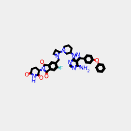 Nc1ncnc2c1c(-c1ccc(Oc3ccccc3)cc1)nn2C1CCCN(C2CCN2Cc2cc3c(cc2F)C(=O)N(C2CCC(=O)NC2=O)C3=O)C1